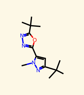 Cn1nc(C(C)(C)C)cc1-c1nnc(C(C)(C)C)o1